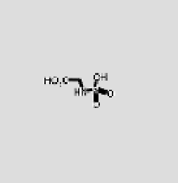 O=C(O)CNS(=O)(=O)O